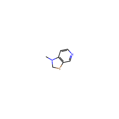 CN1CSc2cnccc21